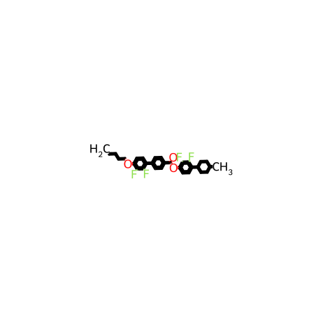 C=CCCCOc1ccc(-c2ccc(C(=O)Oc3ccc(C4CCC(C)CC4)c(F)c3F)cc2)c(F)c1F